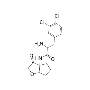 NC(Cc1ccc(Cl)c(Cl)c1)C(=O)NC12CCCC1OCC2=O